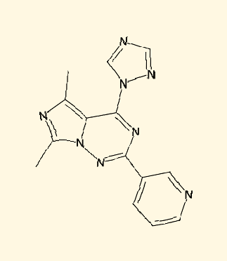 Cc1nc(C)n2nc(-c3cccnc3)nc(-n3cncn3)c12